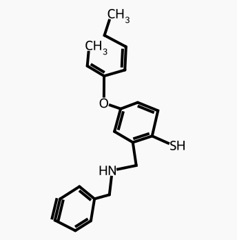 C/C=C(\C=C/CC)Oc1ccc(S)c(CNCc2cc#ccc2)c1